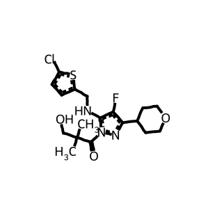 CC(C)(CO)C(=O)n1nc(C2CCOCC2)c(F)c1NCc1ccc(Cl)s1